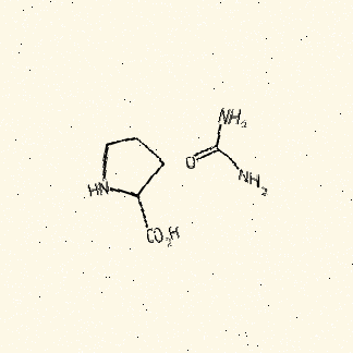 NC(N)=O.O=C(O)C1CCCN1